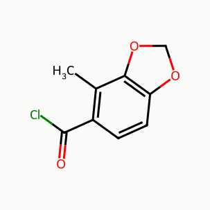 Cc1c(C(=O)Cl)ccc2c1OCO2